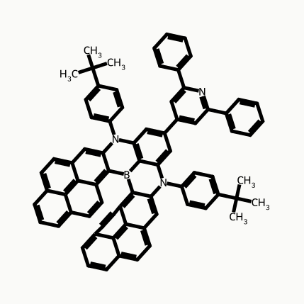 CC(C)(C)c1ccc(N2c3cc(-c4cc(-c5ccccc5)nc(-c5ccccc5)c4)cc4c3B(c3c2cc2ccc5cccc6ccc3c2c56)c2c(cc3ccc5cccc6ccc2c3c56)N4c2ccc(C(C)(C)C)cc2)cc1